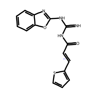 N=C(NC(=O)/C=C/c1cccs1)Nc1nc2ccccc2o1